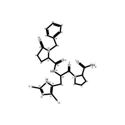 NC(=O)C1CCCN1C(=O)C(Cc1[nH]c(I)nc1I)NC(=O)C1CCC(=O)N1Cc1ccccc1